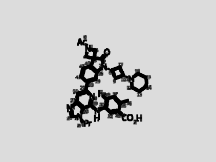 CC(=O)N1CC2(C1)C(=O)N([C@H]1C[C@@H](N3CCCCC3)C1)c1cc(-c3cc4ncn(C(C)C)c4c(Nc4cc(C(=O)O)c(C)cc4F)n3)ccc12